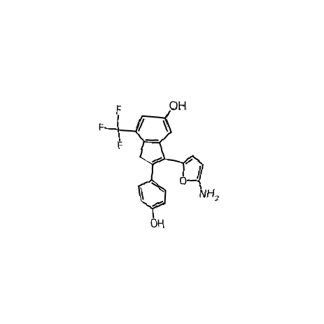 Nc1ccc(C2=C(c3ccc(O)cc3)Cc3c2cc(O)cc3C(F)(F)F)o1